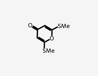 CSc1cc(=O)cc(SC)o1